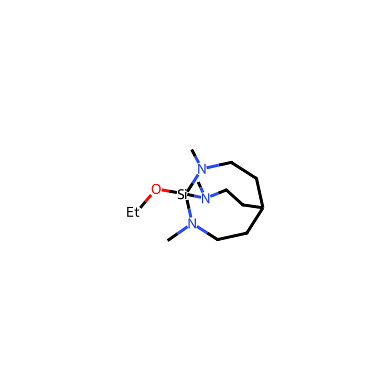 CCO[Si]12N(C)CCC(CCN1C)CCN2C